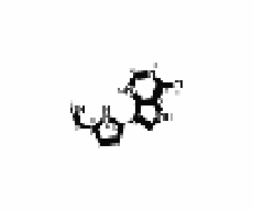 OC[C@@H]1C=C[C@@H](c2c[nH]c3c(Cl)ncnc23)N1